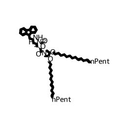 CCCCCC=CCC=CCCCCCCCCOC1CN(C(=O)[C@H](CCCC(N)CC2c3ccccc3-c3ccccc32)OC(N)=O)CC1OCCCCCCCCC=CCC=CCCCCC